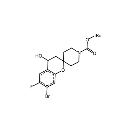 CC(C)(C)OC(=O)N1CCC2(CC1)CC(O)c1cc(F)c(Br)cc1O2